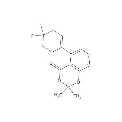 CC1(C)OC(=O)c2c(cccc2C2=CCC(F)(F)CC2)O1